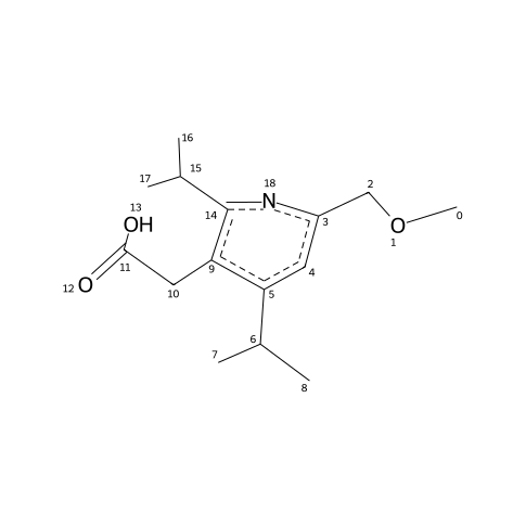 COCc1cc(C(C)C)c(CC(=O)O)c(C(C)C)n1